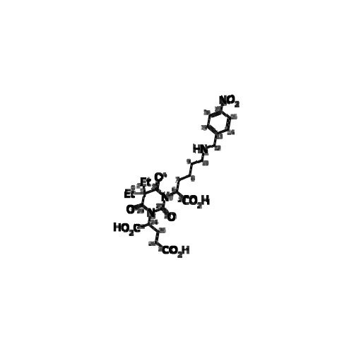 CCC1(CC)C(=O)N(C(CCCCNCc2ccc([N+](=O)[O-])cc2)C(=O)O)C(=O)N(C(CCC(=O)O)C(=O)O)C1=O